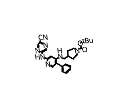 CC(C)(C)OC(=O)N1CCC(CNc2cc(Nc3cnc(C#N)cn3)ncc2-c2ccccc2)CC1